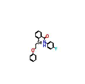 O=C(Nc1ccc(F)cc1)c1ccccc1[Se]CCOc1ccccc1